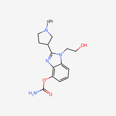 CCCN1CCC(c2nc3c(OC(N)=O)cccc3n2CCO)C1